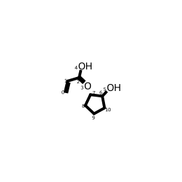 C=CC(=O)O.OC1CCCC1